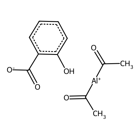 C[C](=O)[Al+][C](C)=O.O=C([O-])c1ccccc1O